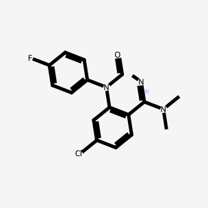 C/N=C(\c1ccc(Cl)cc1N(C=O)c1ccc(F)cc1)N(C)C